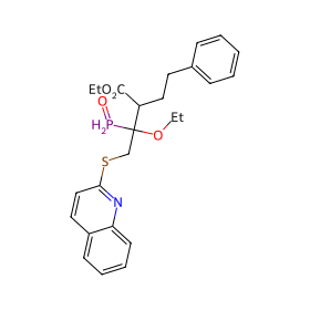 CCOC(=O)C(CCc1ccccc1)C(CSc1ccc2ccccc2n1)(OCC)[PH2]=O